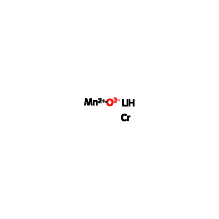 [Cr].[LiH].[Mn+2].[O-2]